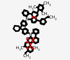 C=Cc1cccc(-c2ccc(N(c3ccc(C4(c5ccc(N(c6ccc(-c7cccc(C=C)c7)cc6)c6ccccc6C6C=C(c7c(C)cc(C)cc7C)C=CC6)cc5)CCCCC4)cc3)c3ccccc3-c3cccc(-c4c(C)cc(C)cc4C)c3)cc2)c1